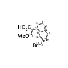 COC=C(C(=O)O)c1cccc2ccc(CBr)cc12